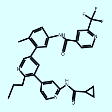 CCCc1ncc(-c2cc(NC(=O)c3ccnc(C(F)(F)F)c3)ccc2C)cc1-c1ccnc(NC(=O)C2CC2)c1